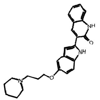 O=c1[nH]c2ccccc2cc1-c1cc2cc(OCCCN3CCCCC3)ccc2[nH]1